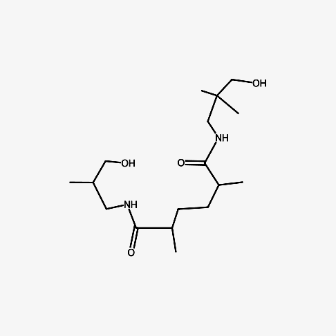 CC(CO)CNC(=O)C(C)CCC(C)C(=O)NCC(C)(C)CO